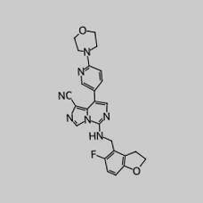 N#Cc1ncn2c(NCc3c(F)ccc4c3CCO4)ncc(-c3ccc(N4CCOCC4)nc3)c12